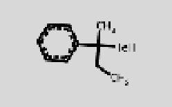 CCC(C)([TeH])c1ccccc1